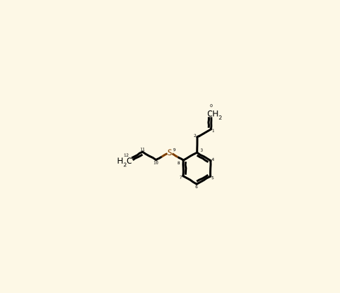 C=C[CH]c1ccccc1SCC=C